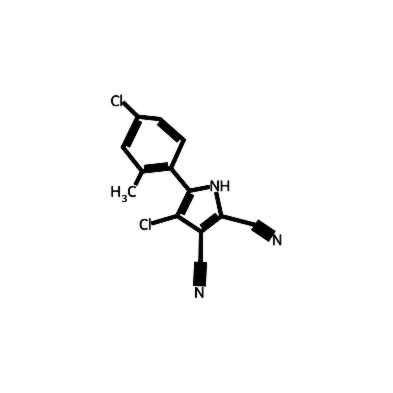 Cc1cc(Cl)ccc1-c1[nH]c(C#N)c(C#N)c1Cl